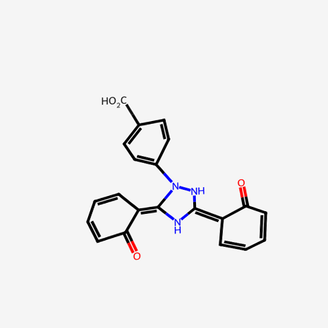 O=C1C=CC=C/C1=C1\N/C(=C2/C=CC=CC2=O)N(c2ccc(C(=O)O)cc2)N1